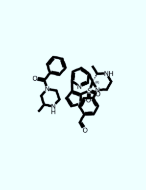 CC1CN(C(=O)c2ccccc2)CCN1.CC1NCCN(c2ccc(C=O)cc2)[C@@]12c1ccc(nc1)-c1ccsc1S2(=O)=O